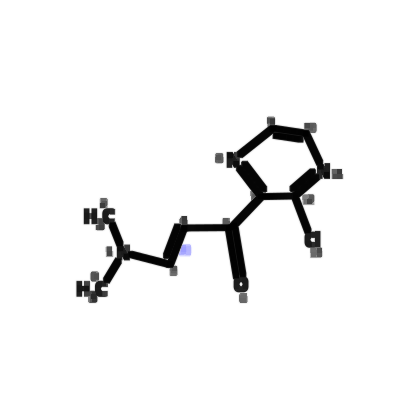 CN(C)/C=C/C(=O)c1nccnc1Cl